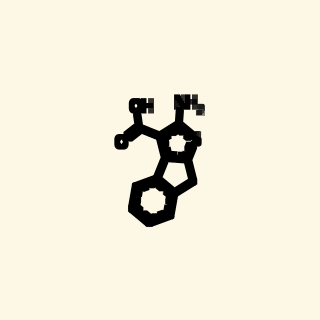 Nc1sc2c(c1C(=O)O)-c1ccccc1C2